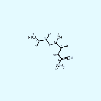 CC(O)C(C)CC(O)C(C)CC(N)=O